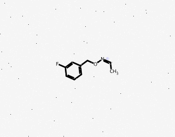 C/[C]=N\OCc1cccc(F)c1